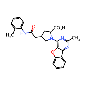 Cc1nc(N2C[C@@H](CC(=O)Nc3ccccc3C)C[C@H]2C(=O)O)c2oc3ccccc3c2n1